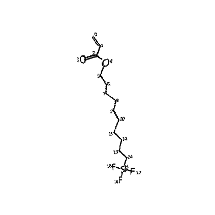 C=CC(=O)OCCCCCCCCCC[Si](F)(F)F